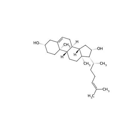 CC(C)=CCC[C@@H](C)[C@H]1[C@@H](O)C[C@H]2[C@@H]3CC=C4C[C@@H](O)CC[C@]4(C)[C@H]3CC[C@]12C